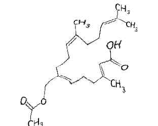 CC(=O)OCC(=CCCC(C)=CC(=O)O)CCC=C(C)CCC=C(C)C